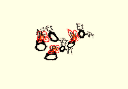 CCc1cc(C(C)C)ccc1OP(=O)([O-])Oc1c2cc(C(C)C)cc1CCCC2.CCc1cc(C(C)C)ccc1OP(=O)([O-])Oc1c2cc(C(C)C)cc1CCCC2.CCc1cc(C(C)C)ccc1OP(=O)([O-])Oc1c2cc(C(C)C)cc1CCCC2.[Al+3]